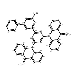 C=C1c2ccccc2N(c2cc(-c3cc(C#N)cc(-c4ccccc4)c3)cc(N3c4ccccc4C(=C)c4ccccc43)c2)c2ccccc21